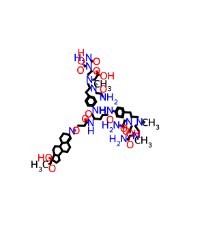 CC(=O)C1(O)CCC2C3CCC4=C/C(=N\OCCC(=O)NC(CCC(=O)Nc5ccc(CC(CN(C)CCN(C)CC(N)=O)N(CC(N)=O)CC(=O)O)cc5)C(=O)Nc5ccc(CC(CN(CCN(C(N)=O)C(=O)O)CC(=O)O)N(C)CC(N)=O)cc5)CCC4C3CCC21